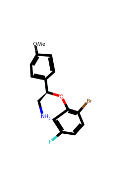 COc1ccc([C@H](CN)Oc2cc(F)ccc2Br)cc1